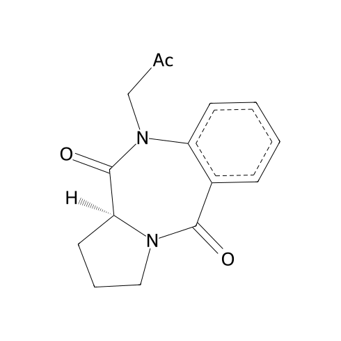 CC(=O)CN1C(=O)[C@@H]2CCCN2C(=O)c2ccccc21